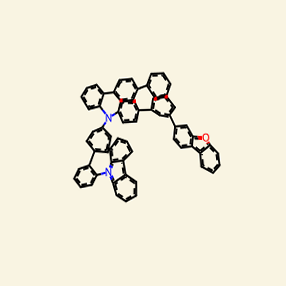 c1ccc(-c2ccc(-c3ccccc3N(c3ccc(-c4cccc(-c5ccc6c(c5)oc5ccccc56)c4)cc3)c3ccc(-c4ccccc4-n4c5ccccc5c5ccccc54)cc3)cc2)cc1